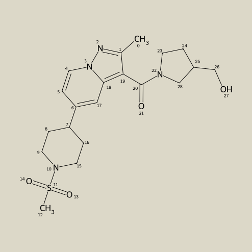 Cc1nn2ccc(C3CCN(S(C)(=O)=O)CC3)cc2c1C(=O)N1CCC(CO)C1